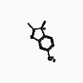 CC1=Nc2cc(C(F)(F)F)ccc2[C@@H]1C